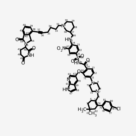 CC1(C)CCC(CN2CCN(c3ccc(C(=O)NS(=O)(=O)c4ccc(NCC5CCCN(CCCCC#Cc6cccc7c6CN(C6CCC(=O)NC6=O)C7=O)C5)c([N+](=O)[O-])c4)c(Oc4cnc5[nH]ccc5c4)c3)CC2)=C(c2ccc(Cl)cc2)C1